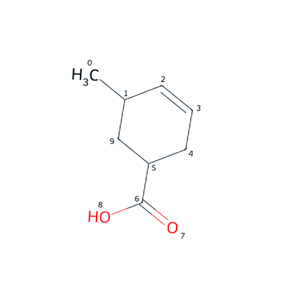 CC1C=CCC(C(=O)O)C1